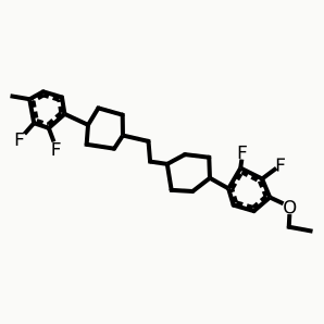 CCOc1ccc(C2CCC(CCC3CCC(c4ccc(C)c(F)c4F)CC3)CC2)c(F)c1F